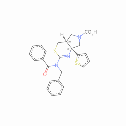 O=C(O)N1C[C@H]2CSC(N(Cc3ccccc3)C(=O)c3ccccc3)=N[C@@]2(c2cccs2)C1